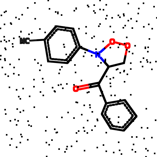 N#Cc1ccc(N2OOCC2C(=O)c2ccccc2)cc1